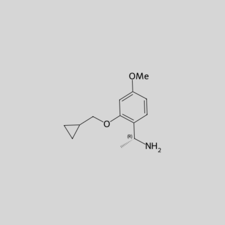 COc1ccc([C@@H](C)N)c(OCC2CC2)c1